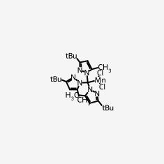 Cc1cc(C(C)(C)C)nn1[C](n1nc(C(C)(C)C)cc1C)(n1nc(C(C)(C)C)cc1C)[Mn]([Cl])[Cl]